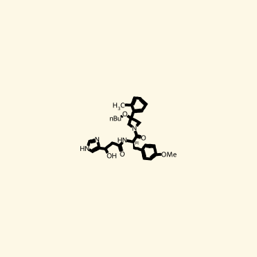 CCCCOC1(c2ccccc2C)CN(C(=O)[C@@H](Cc2ccc(OC)cc2)NC(=O)CC(O)c2c[nH]cn2)C1